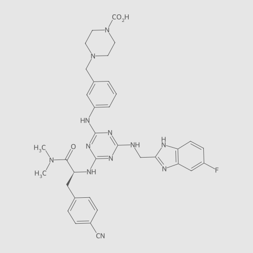 CN(C)C(=O)[C@H](Cc1ccc(C#N)cc1)Nc1nc(NCc2nc3cc(F)ccc3[nH]2)nc(Nc2cccc(CN3CCN(C(=O)O)CC3)c2)n1